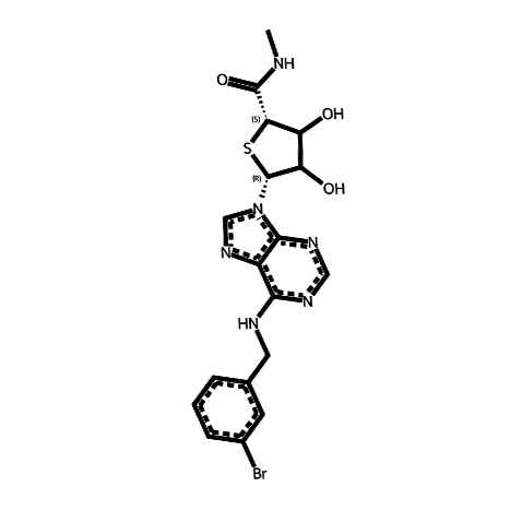 CNC(=O)[C@H]1S[C@@H](n2cnc3c(NCc4cccc(Br)c4)ncnc32)C(O)C1O